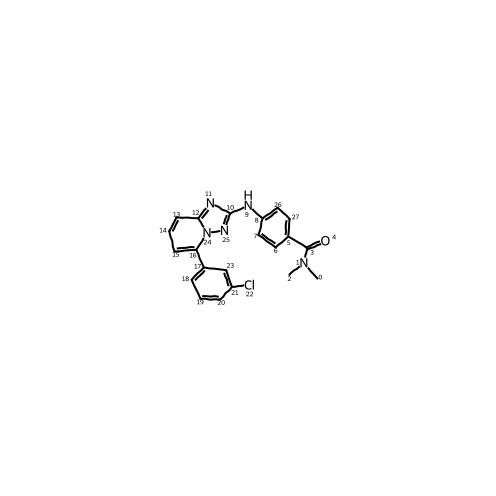 CN(C)C(=O)c1ccc(Nc2nc3cccc(-c4cccc(Cl)c4)n3n2)cc1